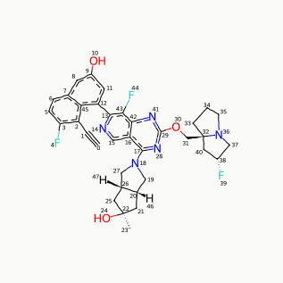 C#Cc1c(F)ccc2cc(O)cc(-c3ncc4c(N5C[C@@H]6C[C@@](C)(O)C[C@@H]6C5)nc(OC[C@@]56CCCN5C[C@H](F)C6)nc4c3F)c12